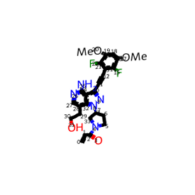 C=CC(=O)N1CC[C@H](n2nc(C#Cc3c(F)c(OC)cc(OC)c3F)c3c(N)ncc(CCO)c32)C1